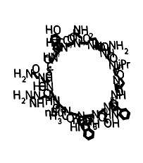 CCCC[C@H]1C(=O)N(C)[C@@H](CCCC)C(=O)N[C@@H](CCCNC(=N)N)C(=O)NC(C(=O)NCC(N)=O)CSCC(=O)N[C@@H](Cc2ccc(O)cc2)C(=O)N(C)[C@@H](C)C(=O)N[C@@H](CC(N)=O)C(=O)N2CCC[C@H]2C(=O)N[C@@H](CC(N)=O)C(=O)N[C@@H](CC(C)C)C(=O)N2CCC[C@H]2C(=O)N[C@@H](Cc2c[nH]c3ccccc23)C(=O)N[C@@H](CCO)C(=O)N[C@@H](Cc2c[nH]c3ccccc23)C(=O)N1C